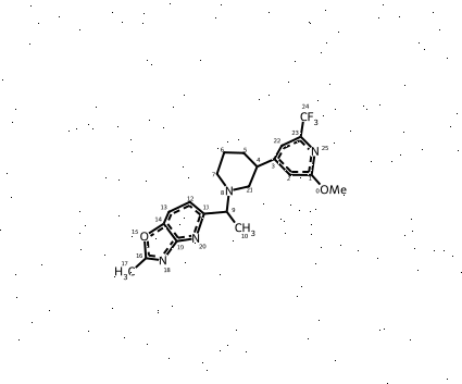 COc1cc(C2CCCN(C(C)c3ccc4oc(C)nc4n3)C2)cc(C(F)(F)F)n1